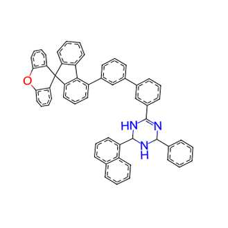 c1ccc(C2N=C(c3cccc(-c4cccc(-c5cccc6c5-c5ccccc5C65c6ccccc6Oc6ccccc65)c4)c3)NC(c3cccc4ccccc34)N2)cc1